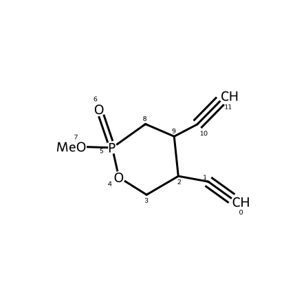 C#CC1COP(=O)(OC)CC1C#C